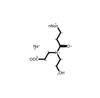 CCCCCCCCCCCC(=O)N(CCO)CCC(=O)[O-].[Na+]